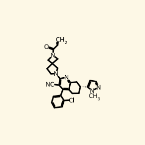 C=CC(=O)N1CC2(CCN(c3nc4c(c(-c5ccccc5Cl)c3C#N)CC[C@@H](c3ccnn3C)C4)C2)C1